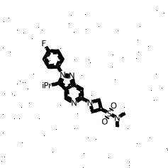 CC(C)c1c2cnc(N3CC(S(=O)(=O)N(C)C)C3)cc2nn1-c1ccc(F)cc1